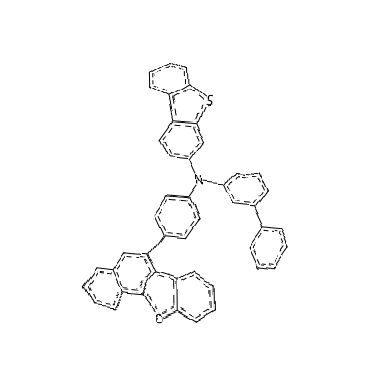 c1ccc(-c2cccc(N(c3ccc(-c4cc5ccccc5c5oc6ccccc6c45)cc3)c3ccc4c(c3)sc3ccccc34)c2)cc1